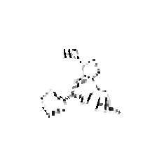 CNCCC1CCC(O)[C@@H]1SC(=O)c1ccccc1